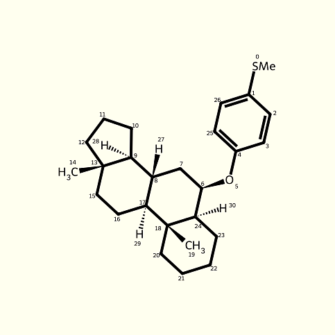 CSc1ccc(O[C@@H]2C[C@H]3[C@@H]4CCC[C@@]4(C)CC[C@@H]3[C@@]3(C)CCCC[C@H]23)cc1